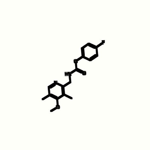 COc1c(C)cnc(CNC(=O)Oc2ccc(F)cc2)c1C